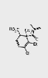 C=C(C)C(=O)C1(C(=O)O)C(CC)=C(O)C=CC1C(=O)O